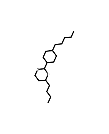 CCCCCC1CCC(C2OCCC(CCCC)O2)CC1